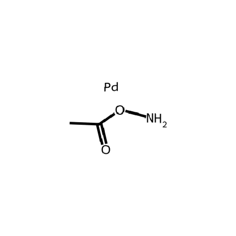 CC(=O)ON.[Pd]